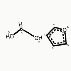 OBO.c1ccoc1